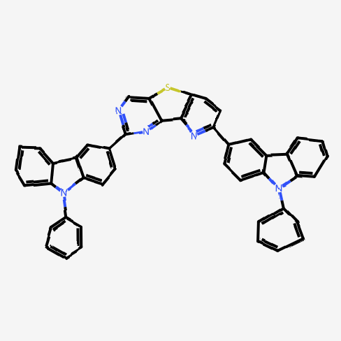 c1ccc(-n2c3ccccc3c3cc(-c4ccc5sc6cnc(-c7ccc8c(c7)c7ccccc7n8-c7ccccc7)nc6c5n4)ccc32)cc1